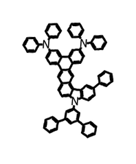 c1ccc(-c2cc(-c3ccccc3)cc(-n3c4ccc(-c5ccccc5)cc4c4c5cc6c7ccc(N(c8ccccc8)c8ccccc8)cc7c7cc(N(c8ccccc8)c8ccccc8)ccc7c6cc5ccc43)c2)cc1